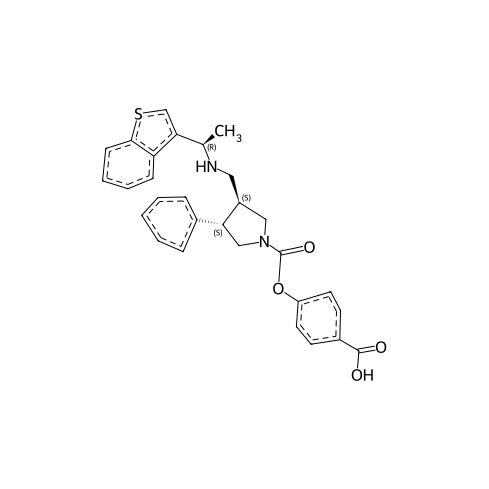 C[C@@H](NC[C@H]1CN(C(=O)Oc2ccc(C(=O)O)cc2)C[C@@H]1c1ccccc1)c1csc2ccccc12